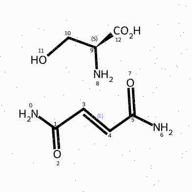 NC(=O)/C=C/C(N)=O.N[C@@H](CO)C(=O)O